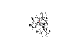 NC(=O)c1cnc2[nH]ccc2c1N[C@@H]1C[C@H]2CC[C@@H](C1)N2c1ncccn1